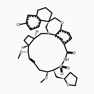 CO[C@H]1/C=C/C[C@H](OC)[C@H](C[C@H]2CCCO2)S(=O)(=O)NC(=O)c2ccc3c(c2)N(C[C@@H]2CC[C@H]21)C[C@@]1(CCCc2cc(Cl)ccc21)CO3